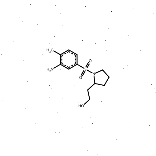 Cc1ccc(S(=O)(=O)N2CCCC2CCO)cc1N